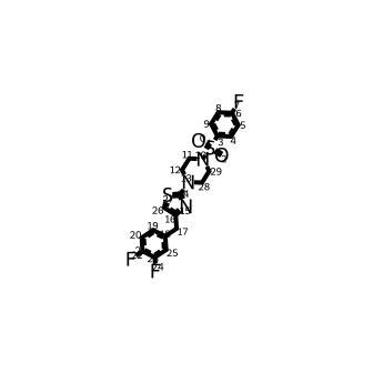 O=S(=O)(c1ccc(F)cc1)N1CCN(c2nc(Cc3ccc(F)c(F)c3)cs2)CC1